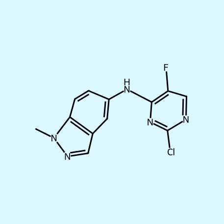 Cn1ncc2cc(Nc3nc(Cl)ncc3F)ccc21